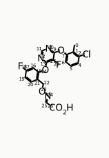 Cc1c(Cl)cccc1Oc1ncnc(Oc2cc(F)ccc2CO/N=C/C(=O)O)c1F